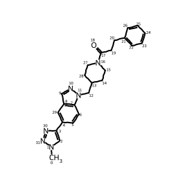 Cn1cc(-c2ccc3c(cnn3CC3CCN(C(=O)CCc4ccccc4)CC3)c2)nn1